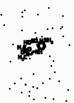 CN(CCNc1ccc(N)cc1)S(C)(=O)=O.O=S(=O)(O)O